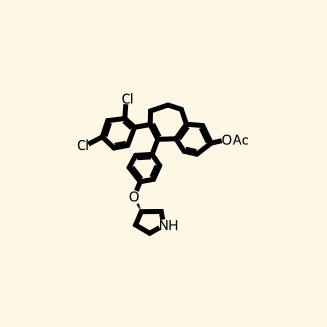 CC(=O)Oc1ccc2c(c1)CCCC(c1ccc(Cl)cc1Cl)=C2c1ccc(O[C@H]2CCNC2)cc1